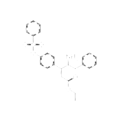 CCOC(=O)CC(c1ccc(OS(=O)(=O)c2ccccc2)cc1)C(N)Cc1ccccc1